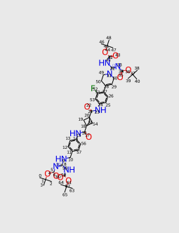 CC(C)(C)OC(=O)/N=C(/NCc1ccc(NC(=O)C23CC(C(=O)Nc4ccc(C5=CCN(/C(=N\C(=O)OC(C)(C)C)NC(=O)OC(C)(C)C)CC5)c(F)c4)(C2)C3)cc1)NC(=O)OC(C)(C)C